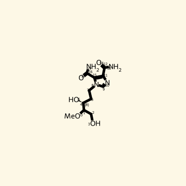 COC(CO)[C@H](O)CCn1cnc(C(N)=O)c1C(N)=O